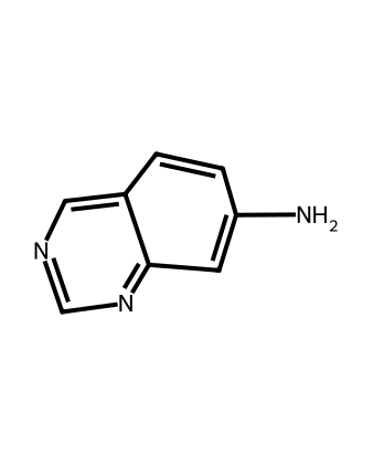 Nc1ccc2cncnc2c1